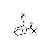 C=COC1C2CC3CC(C2)CC1(C(=O)C(F)(F)F)C3